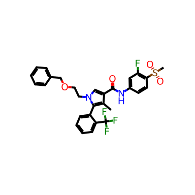 Cc1c(C(=O)Nc2ccc(S(C)(=O)=O)c(F)c2)cn(CCOCc2ccccc2)c1-c1ccccc1C(F)(F)F